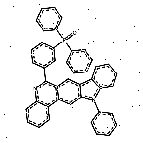 O=P(c1ccccc1)(c1ccccc1)c1cccc(-c2nc3ccccc3c3cc4c(cc23)c2ccccc2n4-c2ccccc2)c1